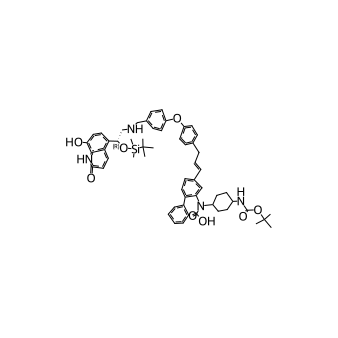 CC(C)(C)OC(=O)NC1CCC(N(C(=O)O)c2cc(C=CCc3ccc(Oc4ccc(CNC[C@H](O[Si](C)(C)C(C)(C)C)c5ccc(O)c6[nH]c(=O)ccc56)cc4)cc3)ccc2-c2ccccc2)CC1